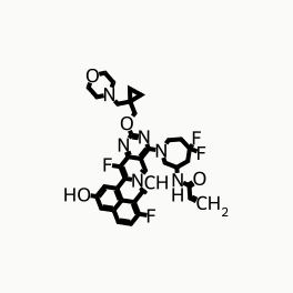 C#Cc1c(F)ccc2cc(O)cc(-c3ncc4c(N5CCC(F)(F)CC(NC(=O)C=C)C5)nc(OCC5(CN6CCOCC6)CC5)nc4c3F)c12